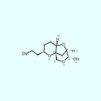 [C-]#[N+]CC[C@H]1CC[C@@H]2O[C@@H]3C[C@]2(CO[C@H]3O)O1